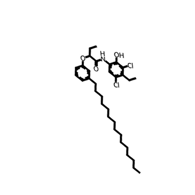 CCCCCCCCCCCCCCCc1cccc(OC(CC)C(=O)Nc2cc(Cl)c(CC)c(Cl)c2O)c1